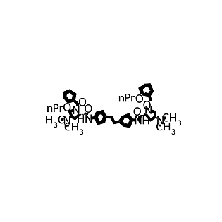 CCCOc1ccccc1CON1C[C@@H](N(C)C)C[C@H]1C(=O)Nc1ccc(CCc2ccc(NC(=O)[C@@H]3C[C@H](N(C)C)CN3C(=O)c3ccccc3OCCC)cc2)cc1